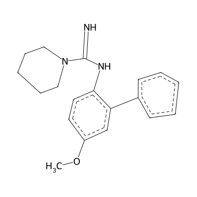 COc1ccc(NC(=N)N2CCCCC2)c(-c2ccccc2)c1